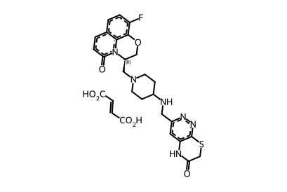 O=C(O)C=CC(=O)O.O=C1CSc2nnc(CNC3CCN(C[C@@H]4COc5c(F)ccc6ccc(=O)n4c56)CC3)cc2N1